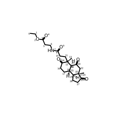 CCOC(=O)CCNC(=O)CC[C@@]1(C)C(=O)CC[C@@H]2[C@@H]1C(=O)C[C@]1(C)C(=O)CC[C@@H]21